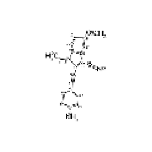 CCn1c(C#Cc2ccc(N)cc2)c(C#N)c2cc(OC)ccc21